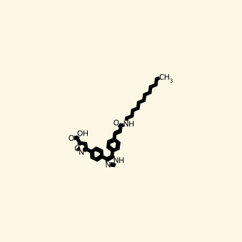 CCCCCCCCCCCCNC(=O)C=Cc1ccc(-c2[nH]cnc2-c2ccc(C3=NOC(C(=O)O)C3)cc2)cc1